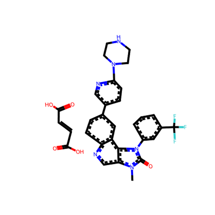 Cn1c(=O)n(-c2cccc(C(F)(F)F)c2)c2c3cc(-c4ccc(N5CCNCC5)nc4)ccc3ncc21.O=C(O)C=CC(=O)O